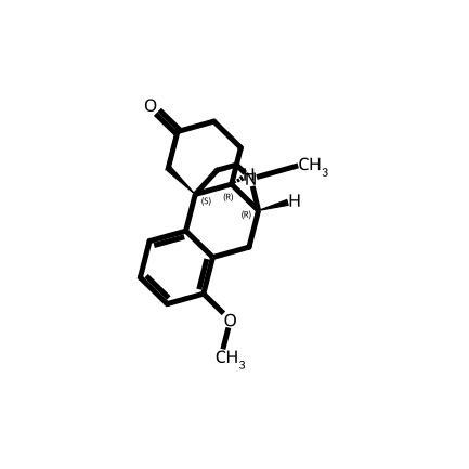 COc1cccc2c1C[C@@H]1[C@@H]3CCC(=O)C[C@]23CCN1C